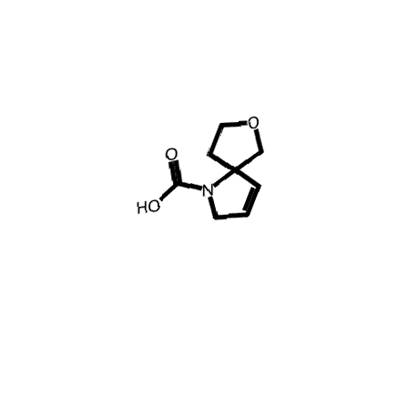 O=C(O)N1CC=CC12CCOC2